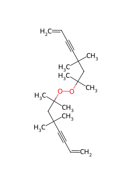 C=CC#CC(C)(C)CC(C)(C)OOC(C)(C)CC(C)(C)C#CC=C